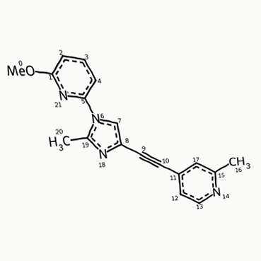 COc1cccc(-n2cc(C#Cc3ccnc(C)c3)nc2C)n1